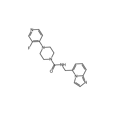 O=C(NCc1cccc2nccn12)N1CCN(c2ccncc2F)CC1